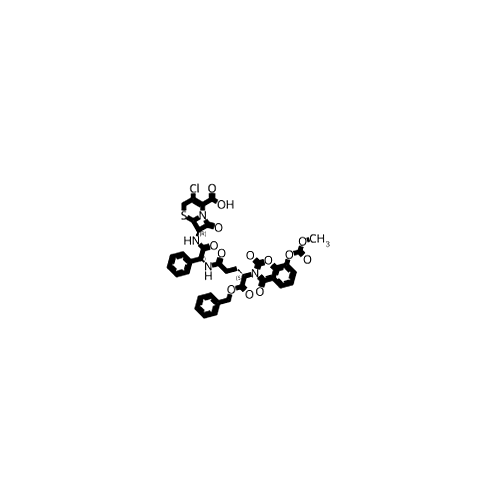 COC(=O)Oc1cccc2c(=O)n([C@@H](CCC(=O)N[C@@H](C(=O)N[C@@H]3C(=O)N4C(C(=O)O)=C(Cl)CSC34)c3ccccc3)C(=O)OCc3ccccc3)c(=O)oc12